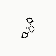 B1N(c2ccccc2)CCCN1c1ccccc1